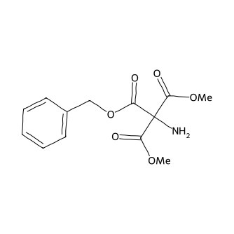 COC(=O)C(N)(C(=O)OC)C(=O)OCc1ccccc1